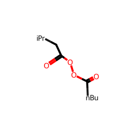 CCCCC(=O)OOC(=O)CC(C)C